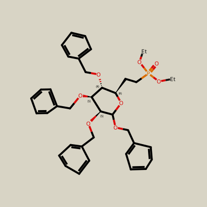 CCOP(=O)(CC[C@H]1OC(OCc2ccccc2)[C@@H](OCc2ccccc2)[C@@H](OCc2ccccc2)[C@@H]1OCc1ccccc1)OCC